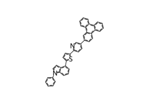 c1ccc(-n2ccc3c(-c4ccc(-c5ccc(-c6ccc7c8ccccc8c8ccccc8c7c6)cn5)s4)cccc32)cc1